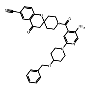 N#Cc1ccc2c(c1)C(=O)CC1(CCN(C(=O)c3cc(N4CCC(OCc5ccccc5)CC4)ncc3N)CC1)O2